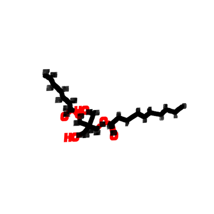 CCCCCCCCCC(=O)OCC(CO)(CO)COC(=O)CCCCCC